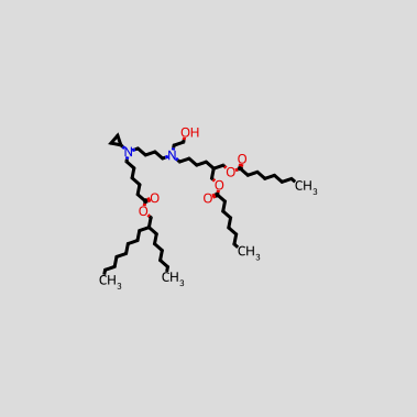 CCCCCCCCC(CCCCCC)COC(=O)CCCCCN(CCCCN(CCO)CCCCC(COC(=O)CCCCCCC)COC(=O)CCCCCCC)C1CC1